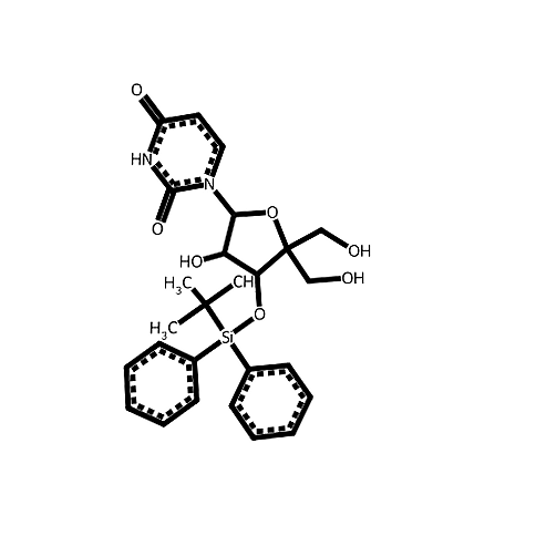 CC(C)(C)[Si](OC1C(O)C(n2ccc(=O)[nH]c2=O)OC1(CO)CO)(c1ccccc1)c1ccccc1